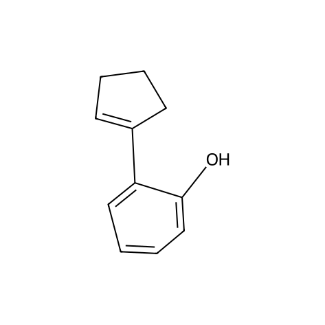 Oc1ccccc1C1=CCCC1